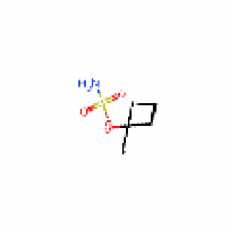 CC1(OS(N)(=O)=O)CCC1